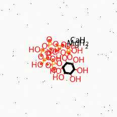 O=P(O)(O)OP(=O)(O)OP(=O)(O)OP(=O)(O)OP(=O)(O)OP(=O)(O)O[C@]1(O)[C@H](O)[C@H](O)[C@@H](O)[C@H](O)[C@H]1O.[CaH2].[MgH2]